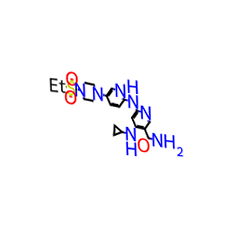 CCS(=O)(=O)N1CCN(c2ccc(Nc3cc(NC4CC4)c(C(N)=O)cn3)nc2)CC1